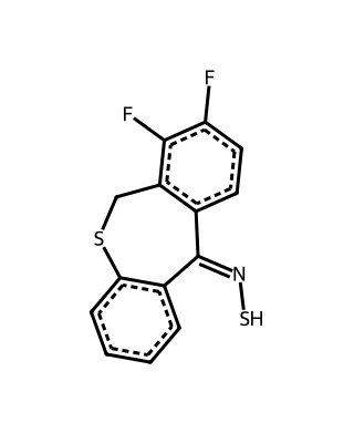 Fc1ccc2c(c1F)CSc1ccccc1/C2=N\S